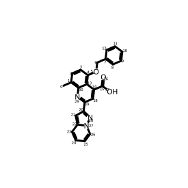 Cc1ccc(OCc2ccccc2)c2c(C(=O)O)cc(-c3cc4ccccn4n3)nc12